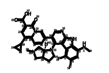 CNc1cc(F)c(F)c2c1[nH]c1ncc(-c3ccc4c(C5CC5)cc(C(=O)O)c(=O)n4c3)c(N3CCC4CN(C)C[C@H]43)c12